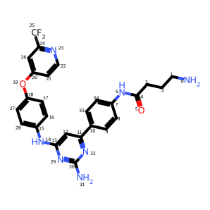 NCCCC(=O)Nc1ccc(-c2cc(Nc3ccc(Oc4ccnc(C(F)(F)F)c4)cc3)nc(N)n2)cc1